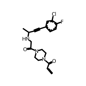 C=CC(=O)N1CCN(C(=O)CNC(C)C#Cc2ccc(F)c(Cl)c2)CC1